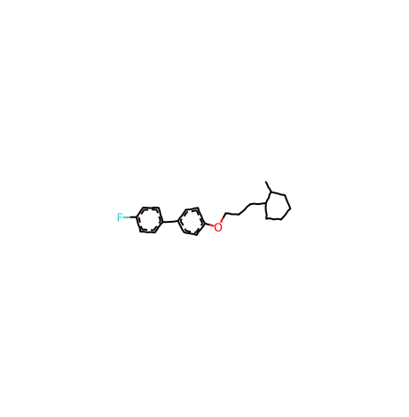 CC1CCCCC1CCCOc1ccc(-c2ccc(F)cc2)cc1